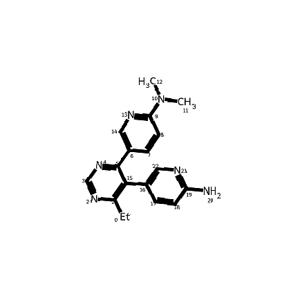 CCc1ncnc(-c2ccc(N(C)C)nc2)c1-c1ccc(N)nc1